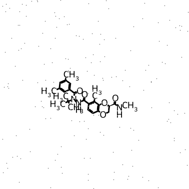 CNC(=O)[C@H]1COc2ccc(C(=O)NN(C(=O)c3cc(C)cc(C)c3)C(C)(C)C)c(C)c2O1